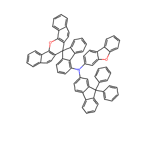 c1ccc(C2(c3ccccc3)c3ccccc3-c3ccc(N(c4ccc5c(c4)oc4ccccc45)c4cccc5c4-c4ccccc4C54c5ccc6ccccc6c5Oc5c4ccc4ccccc54)cc32)cc1